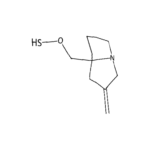 C=C1CN2CCC2(COS)C1